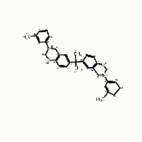 CC1=CC(N2COc3ccc(C(C)(C)c4ccc5c(c4)CN(c4cccc(C)c4)CO5)cc3C2)=CCC1